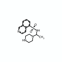 CC(NS(=O)(=O)c1cccc2cnccc12)N1CCNCC1